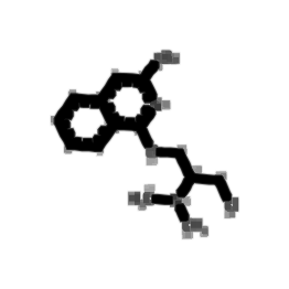 CCCCc1cc2ccccc2c(OCC(CCl)N(C)C)n1